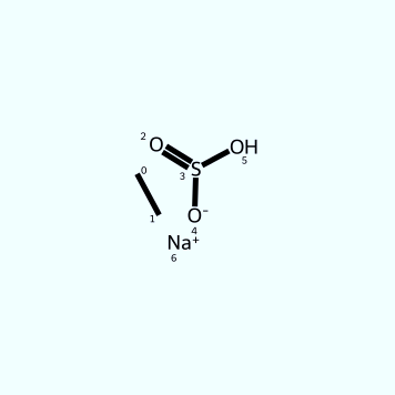 CC.O=S([O-])O.[Na+]